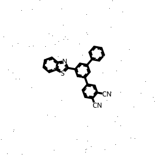 N#Cc1ccc(-c2cc(-c3ccccc3)cc(-c3nc4ccccc4s3)c2)cc1C#N